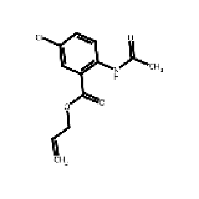 C=CCOC(=O)c1cc(Cl)ccc1NC(C)=O